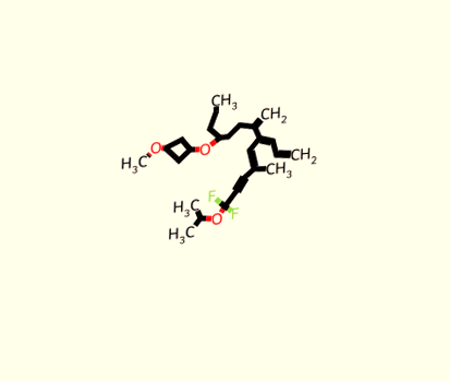 C=C/C=C(\C=C(/C)C#CC(F)(F)OC(C)C)C(=C)CCC(CCC)OC1CC(OC)C1